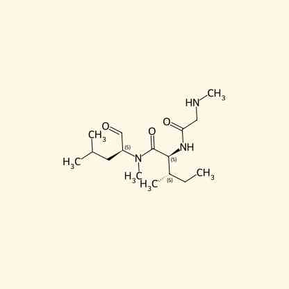 CC[C@H](C)[C@H](NC(=O)CNC)C(=O)N(C)[C@H](C=O)CC(C)C